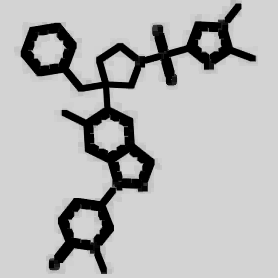 Cc1cc2c(cnn2-c2ccc(=O)n(C)c2)cc1C1(Cc2ccccc2)CCN(S(=O)(=O)c2cn(C)c(C)n2)C1